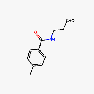 Cc1ccc(C(=O)NCCC=O)cc1